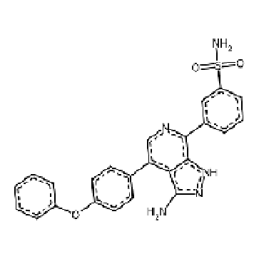 Nc1n[nH]c2c(-c3cccc(S(N)(=O)=O)c3)ncc(-c3ccc(Oc4ccccc4)cc3)c12